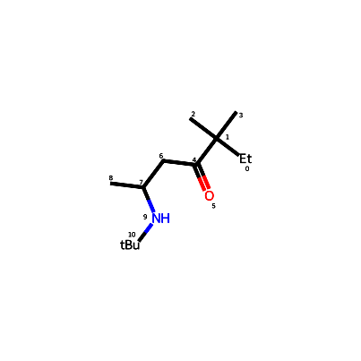 CCC(C)(C)C(=O)CC(C)NC(C)(C)C